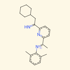 C/C(=N\c1c(C)cccc1C)c1cccc(C(=N)CC2CCCCC2)n1